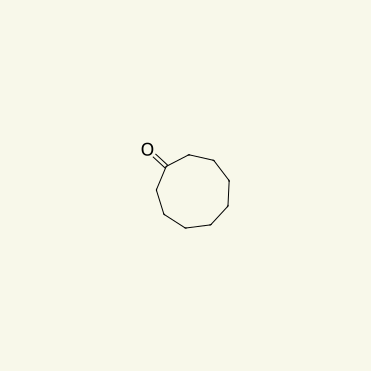 O=C1CCCCCCCC1